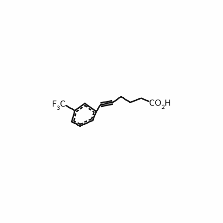 O=C(O)CCCC#Cc1cccc(C(F)(F)F)c1